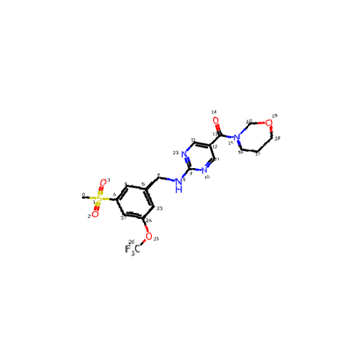 CS(=O)(=O)c1cc(CNc2ncc(C(=O)N3CCCOC3)cn2)cc(OC(F)(F)F)c1